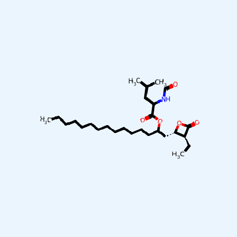 CCCCCCCCCCCCCC(C[C@@H]1OC(=O)[C@H]1CC)OC(=O)C(CC(C)C)NC=O